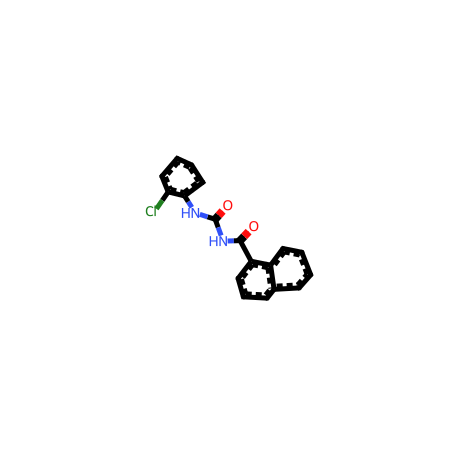 O=C(NC(=O)c1cccc2ccccc12)Nc1ccccc1Cl